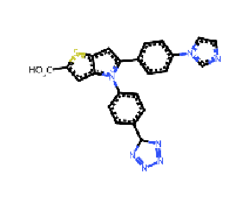 O=C(O)c1cc2c(cc(-c3ccc(-n4ccnc4)cc3)n2-c2ccc(C3N=NN=N3)cc2)s1